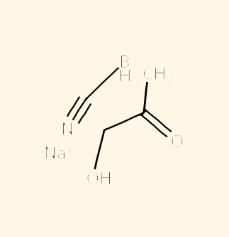 CC(=O)CO.[BH3-]C#N.[Na+]